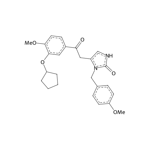 COc1ccc(Cn2c(CC(=O)c3ccc(OC)c(OC4CCCC4)c3)c[nH]c2=O)cc1